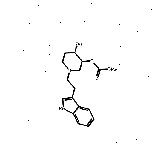 COC(=O)O[C@H]1CN(CCc2c[nH]c3ccccc23)CC[C@H]1O